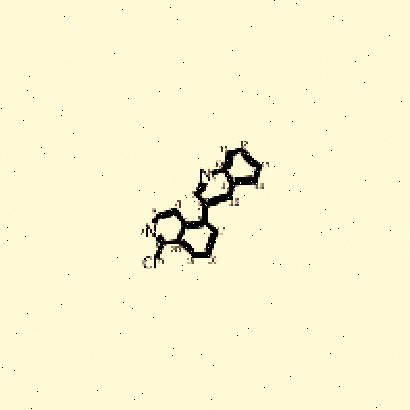 Clc1nccc2c(-c3cnc4ccccc4c3)cccc12